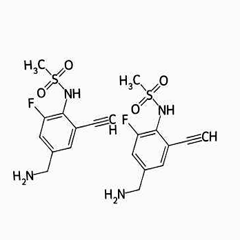 C#Cc1cc(CN)cc(F)c1NS(C)(=O)=O.C#Cc1cc(CN)cc(F)c1NS(C)(=O)=O